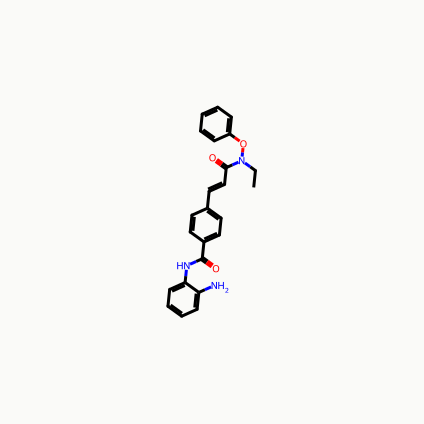 CCN(Oc1ccccc1)C(=O)C=Cc1ccc(C(=O)Nc2ccccc2N)cc1